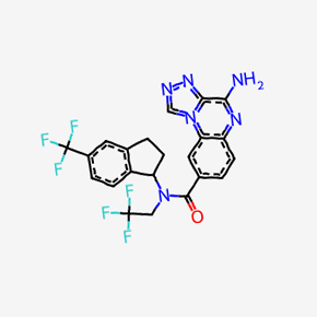 Nc1nc2ccc(C(=O)N(CC(F)(F)F)C3CCc4cc(C(F)(F)F)ccc43)cc2n2cnnc12